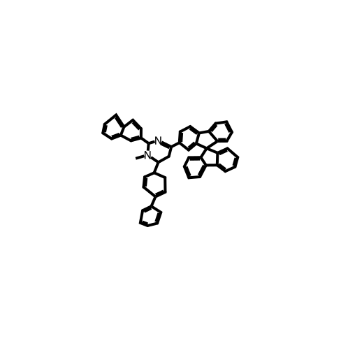 CN1C(c2ccc3ccccc3c2)N=C(c2ccc3c(c2)C2(c4ccccc4-c4ccccc42)c2ccccc2-3)CC1C1C=CC(c2ccccc2)=CC1